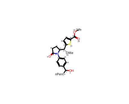 CCCCCC(O)c1ccc(N2C(=O)CCC2[C@@H](OC)c2ccc(C(=O)OC(C)C)s2)cc1